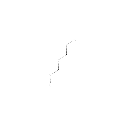 [CH2]CNCCCCN